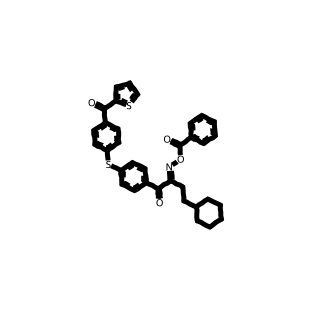 O=C(O/N=C(\CCC1CCCCC1)C(=O)c1ccc(Sc2ccc(C(=O)c3cccs3)cc2)cc1)c1ccccc1